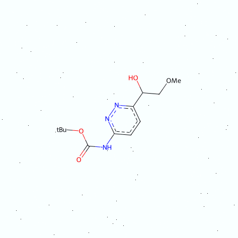 COCC(O)c1ccc(NC(=O)OC(C)(C)C)nn1